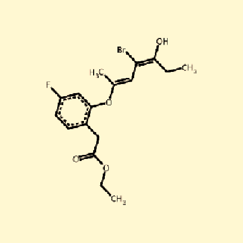 CCOC(=O)Cc1ccc(F)cc1O/C(C)=C/C(Br)=C(/O)CC